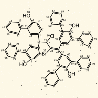 Oc1ccc([C](c2ccc(O)c(-c3ccccc3)c2)C(Cl)C(Br)=C(c2cc(-c3ccccc3)c(O)c(-c3ccccc3)c2)c2cc(-c3ccccc3)c(O)c(-c3ccccc3)c2)cc1-c1ccccc1